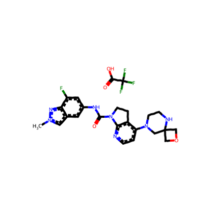 Cn1cc2cc(NC(=O)N3CCc4c(N5CCNC6(COC6)C5)ccnc43)cc(F)c2n1.O=C(O)C(F)(F)F